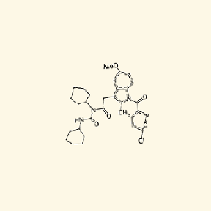 COc1ccc2c(c1)c(CC(=O)N(C(=O)NC1CCCCC1)C1CCCCC1)c(C)n2C(=O)c1ccc(Cl)cc1